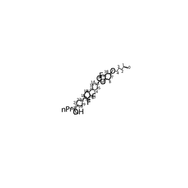 C=CCCCOc1ccc(OC(=O)C2CCC(c3ccc(C4CCC(C(O)CCC)CC4)c(F)c3F)CC2)c(F)c1